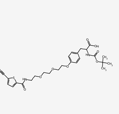 CC(C)(C)OC(=O)NC(Cc1ccc(OCCOCCOCCNC(=O)c2ccc(C#N)s2)cc1)C(=O)O